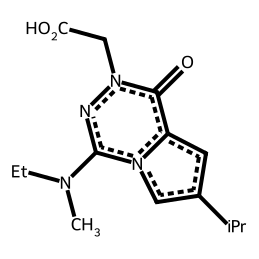 CCN(C)c1nn(CC(=O)O)c(=O)c2cc(C(C)C)cn12